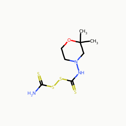 CC1(C)CN(NC(=S)SSC(N)=S)CCO1